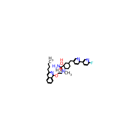 CCCCc1cc2ccccc2c(OCC[N+](C)(C)[C@H]2CCC(Cc3ccc(-c4ccc(F)nc4)nc3)C[C@@]2(O)C(N)=O)n1